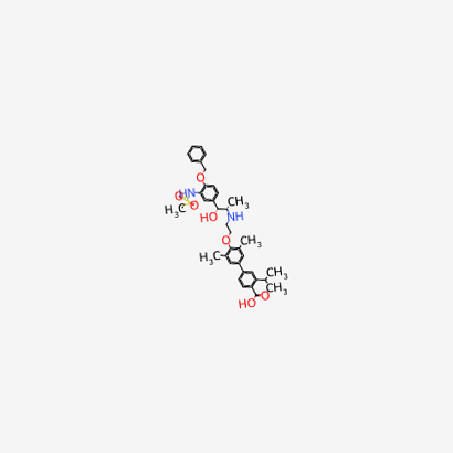 Cc1cc(-c2ccc(C(=O)O)c(C(C)C)c2)cc(C)c1OCCN[C@@H](C)[C@H](O)c1ccc(OCc2ccccc2)c(NS(C)(=O)=O)c1